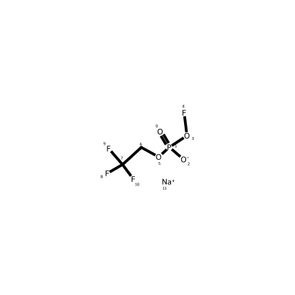 O=P([O-])(OF)OCC(F)(F)F.[Na+]